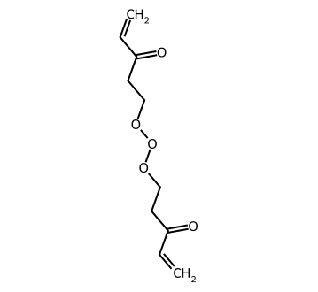 C=CC(=O)CCOOOCCC(=O)C=C